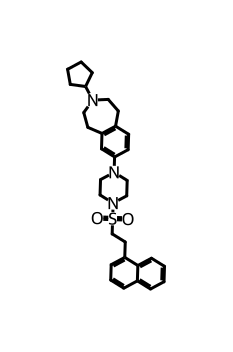 O=S(=O)(CCc1cccc2ccccc12)N1CCN(c2ccc3c(c2)CCN(C2CCCC2)CC3)CC1